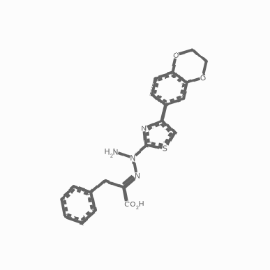 NN(/N=C(\Cc1ccccc1)C(=O)O)c1nc(-c2ccc3c(c2)OCCO3)cs1